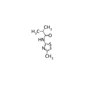 Cc1csc(NC(=O)C(C)C)n1